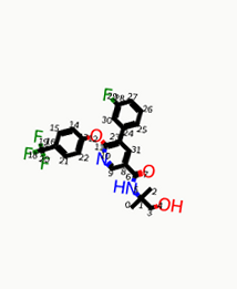 CC(C)(CO)NC(=O)c1cnc(Oc2ccc(C(F)(F)F)cc2)c(-c2cccc(F)c2)c1